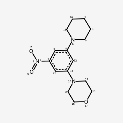 O=[N+]([O-])c1cc(N2CCCCC2)cc(N2CCOCC2)c1